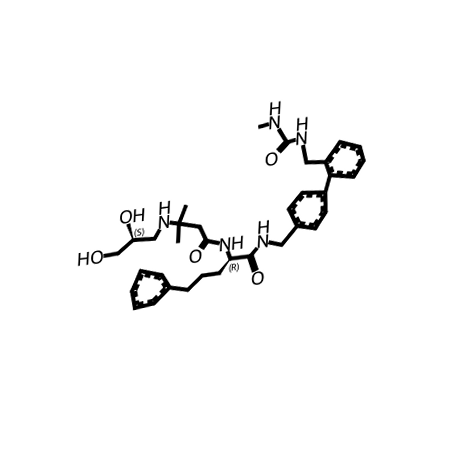 CNC(=O)NCc1ccccc1-c1ccc(CNC(=O)[C@@H](CCCc2ccccc2)NC(=O)CC(C)(C)NC[C@H](O)CO)cc1